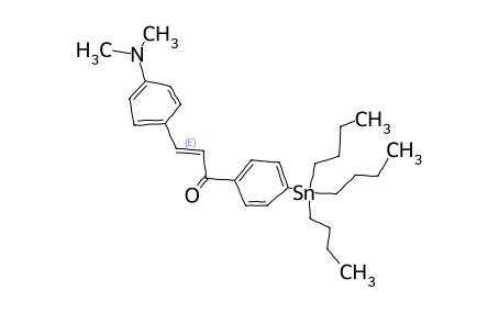 CCC[CH2][Sn]([CH2]CCC)([CH2]CCC)[c]1ccc(C(=O)/C=C/c2ccc(N(C)C)cc2)cc1